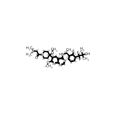 COc1nc2ncnc(N[C@H](C)c3cccc(C(F)(F)C(C)(C)O)c3F)c2cc1C1(OC)CCN(C(=O)CN(C)C)CC1